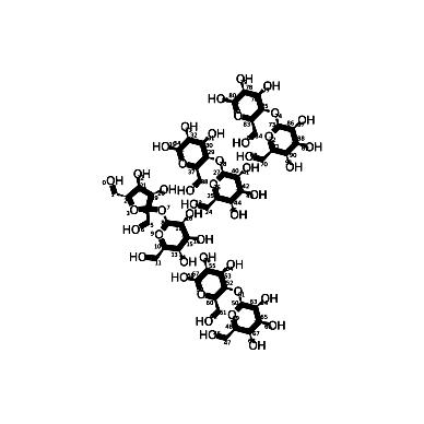 OC[C@H]1O[C@@](CO)(O[C@H]2O[C@H](CO)[C@@H](O)[C@H](O)[C@H]2O)[C@@H](O)[C@@H]1O.OC[C@H]1O[C@H](O[C@H]2[C@H](O)[C@@H](O)[C@H](O)O[C@@H]2CO)[C@H](O)[C@@H](O)[C@@H]1O.OC[C@H]1O[C@H](O[C@H]2[C@H](O)[C@@H](O)[C@H](O)O[C@@H]2CO)[C@H](O)[C@@H](O)[C@@H]1O.OC[C@H]1O[C@H](O[C@H]2[C@H](O)[C@@H](O)[C@H](O)O[C@@H]2CO)[C@H](O)[C@@H](O)[C@@H]1O